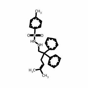 CC(C)=CCC(CNNS(=O)(=O)c1ccc(C)cc1)(c1ccccc1)c1ccccc1